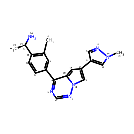 Cc1cc(-c2ncnn3cc(-c4cnn(C)c4)cc23)ccc1[C@@H](C)N